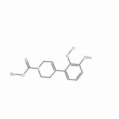 COc1cccc(C2=CCN(C(=O)OC(C)(C)C)CC2)c1OCl